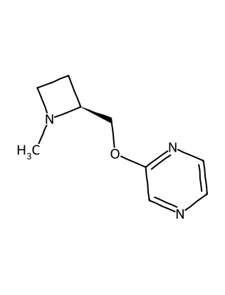 CN1CC[C@H]1COc1cnccn1